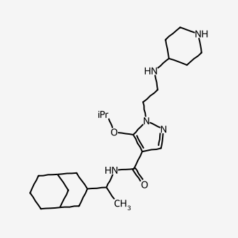 CC(C)Oc1c(C(=O)NC(C)C2CC3CCCC(C3)C2)cnn1CCNC1CCNCC1